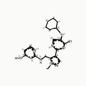 CCc1nc(-c2cnn(C)c2CNc2nccc(OC)n2)ncc1OC1CCCCC1